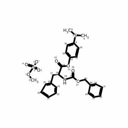 COS(=O)(=O)[O-].C[S+](C)c1ccc(OC(=O)[C@H](Cc2ccccc2)NC(=O)OCc2ccccc2)cc1